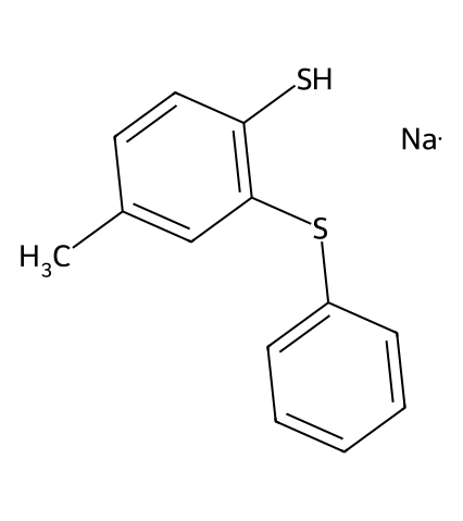 Cc1ccc(S)c(Sc2ccccc2)c1.[Na]